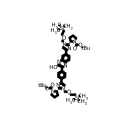 CC(C)(C)OC(=O)N1CCC[C@H]1c1nc(-c2ccc(-c3nc4ccc(-c5cn(COCC[Si](C)(C)C)c([C@@H]6CCCN6C(=O)OC(C)(C)C)n5)cc4nc3O)cc2)cn1COCC[Si](C)(C)C